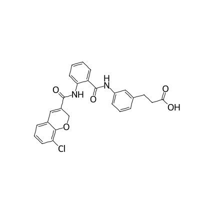 O=C(O)CCc1cccc(NC(=O)c2ccccc2NC(=O)C2=Cc3cccc(Cl)c3OC2)c1